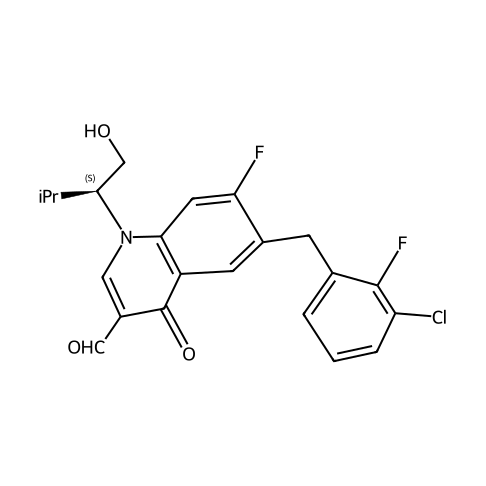 CC(C)[C@@H](CO)n1cc(C=O)c(=O)c2cc(Cc3cccc(Cl)c3F)c(F)cc21